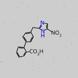 O=C(O)c1ccccc1-c1ccc(Cc2ncc([N+](=O)[O-])[nH]2)cc1